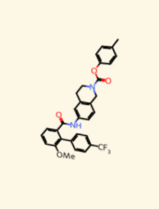 COc1cccc(C(=O)Nc2ccc3c(c2)CCN(C(=O)Oc2ccc(C)cc2)C3)c1-c1ccc(C(F)(F)F)cc1